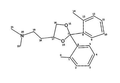 Cc1ccccc1C1(c2ccccc2C)OCC(CCN(C)C)O1